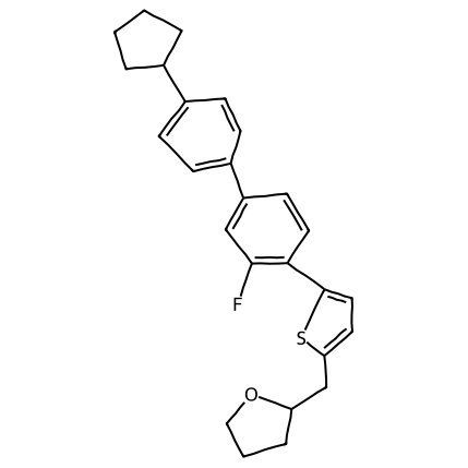 Fc1cc(-c2ccc(C3CCCC3)cc2)ccc1-c1ccc(CC2CCCO2)s1